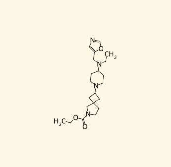 CCOC(=O)N1CCC2(CC(N3CCC(N(CC)Cc4cnco4)CC3)C2)C1